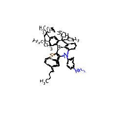 CCCCc1ccc2sc3c(c2c1)N(c1ccc(N)cc1)c1cccc2c1B3c1cc3c(cc1C2(C)C)C(C)(C)CC3(C)C